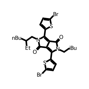 CCCCC(CC)CN1C(=O)C2=C(c3ccc(Br)s3)N(CC(C)CC)C(=O)C2=C1c1ccc(Br)s1